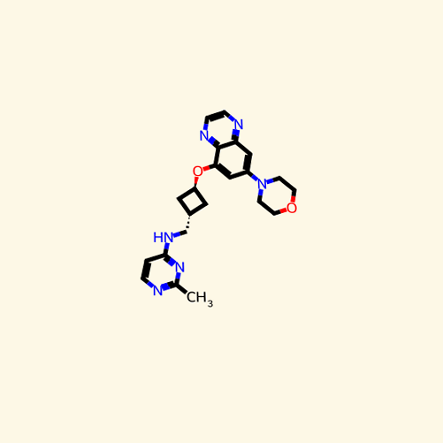 Cc1nccc(NC[C@H]2C[C@H](Oc3cc(N4CCOCC4)cc4nccnc34)C2)n1